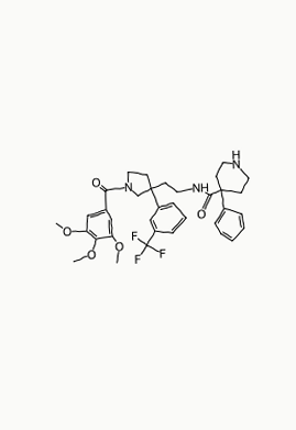 COc1cc(C(=O)N2CCC(CCNC(=O)C3(c4ccccc4)CCNCC3)(c3cccc(C(F)(F)F)c3)C2)cc(OC)c1OC